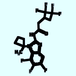 CC1(n2c(NC(=O)CC3CC(F)(F)C3(F)F)nc3cc(F)c(F)c(F)c32)CCC1